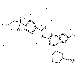 Cc1cc2nc(NC(=O)c3ccc(C(C)(C)CO)cc3)cc(N3CCCC(C(=O)O)C3)n2n1